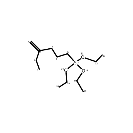 C=C(CC)CCC[Si](OCC)(OCC)OCC